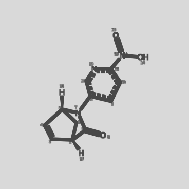 O=C1[C@@H]2C=C[C@@H](C2)N1c1ccc([N+](=O)O)nc1